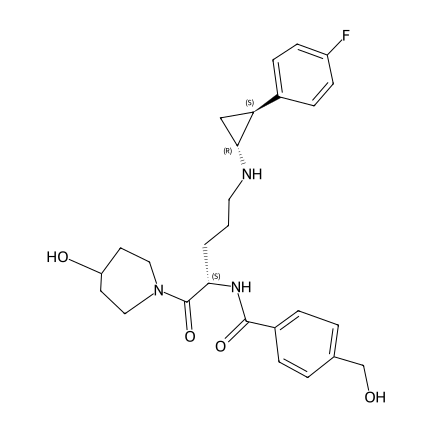 O=C(N[C@@H](CCCN[C@@H]1C[C@H]1c1ccc(F)cc1)C(=O)N1CCC(O)CC1)c1ccc(CO)cc1